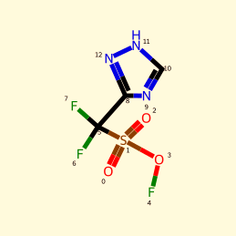 O=S(=O)(OF)C(F)(F)c1nc[nH]n1